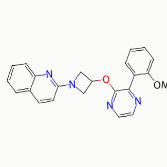 COc1ccccc1-c1nccnc1OC1CN(c2ccc3ccccc3n2)C1